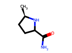 C[C@@H]1CCC(C(N)=O)N1